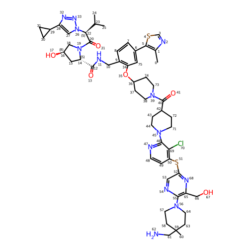 Cc1ncsc1-c1ccc(CNC(=O)[C@@H]2C[C@@H](O)CN2C(=O)[C@H](C(C)C)n2cc(C3CC3)nn2)c(OC2CCN(C(=O)C3CCN(c4nccc(Sc5cnc(N6CCC(C)(CN)CC6)c(CO)n5)c4Cl)CC3)CC2)c1